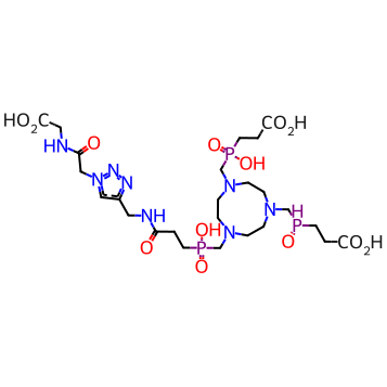 O=C(O)CC[PH](=O)CN1CCN(CP(=O)(O)CCC(=O)O)CCN(CP(=O)(O)CCC(=O)NCc2cn(CC(=O)NCC(=O)O)nn2)CC1